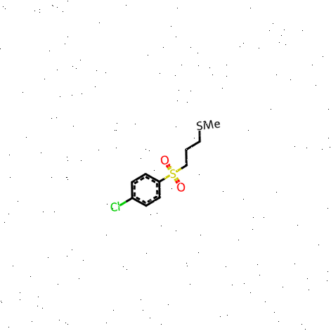 CSCCCS(=O)(=O)c1ccc(Cl)cc1